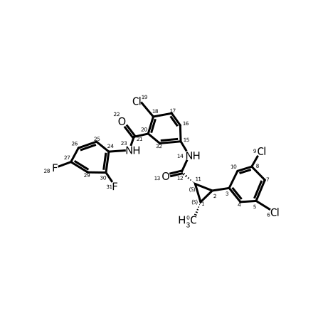 C[C@H]1C(c2cc(Cl)cc(Cl)c2)[C@H]1C(=O)Nc1ccc(Cl)c(C(=O)Nc2ccc(F)cc2F)c1